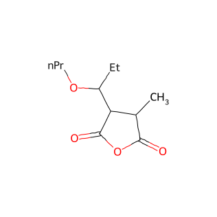 CCCOC(CC)C1C(=O)OC(=O)C1C